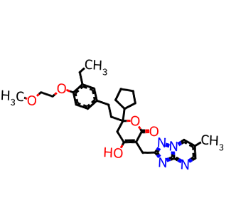 CCc1cc(CCC2(C3CCCC3)CC(O)=C(Cc3nc4ncc(C)cn4n3)C(=O)O2)ccc1OCCOC